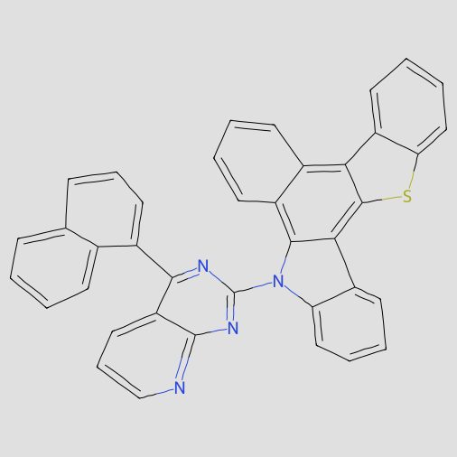 c1ccc2c(-c3nc(-n4c5ccccc5c5c6sc7ccccc7c6c6ccccc6c54)nc4ncccc34)cccc2c1